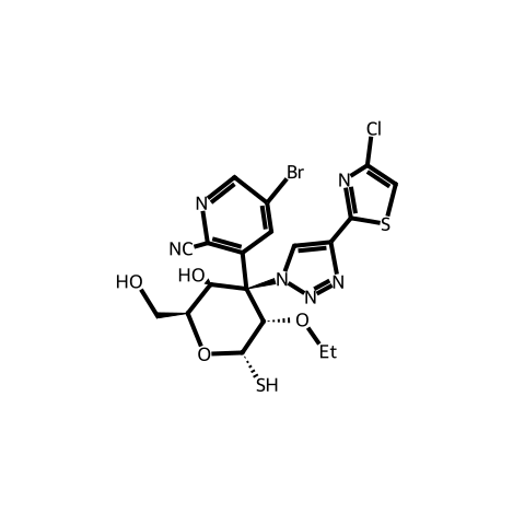 CCO[C@@H]1[C@H](S)O[C@@H](CO)[C@@H](O)[C@@]1(c1cc(Br)cnc1C#N)n1cc(-c2nc(Cl)cs2)nn1